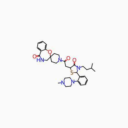 CC(C)CCN1C(=O)C(CC(=O)N2CCC3(CC2)CNC(=O)c2ccccc2O3)SC1c1ccccc1N1CCN(C)CC1